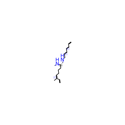 C=C/C=C/C=C/CNC[C@H](CCC/C=C(/C)C=C)NC